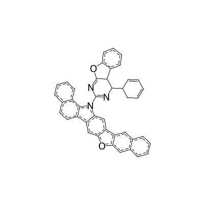 C1=CCC(C2N=C(n3c4cc5c(cc4c4ccc6ccccc6c43)oc3cc4ccccc4cc35)N=C3Oc4ccccc4C32)C=C1